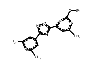 Cc1cc(-c2noc(-c3cc(C)nc(OC(C)C)n3)n2)cc(C)n1